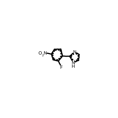 O=[N+]([O-])c1ccc(-c2ncc[nH]2)c(F)c1